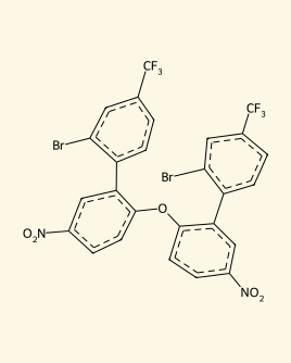 O=[N+]([O-])c1ccc(Oc2ccc([N+](=O)[O-])cc2-c2ccc(C(F)(F)F)cc2Br)c(-c2ccc(C(F)(F)F)cc2Br)c1